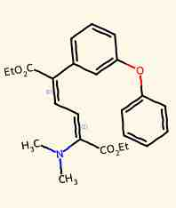 CCOC(=O)/C(=C/C=C(/C(=O)OCC)c1cccc(Oc2ccccc2)c1)N(C)C